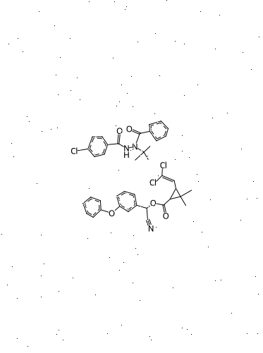 CC(C)(C)N(NC(=O)c1ccc(Cl)cc1)C(=O)c1ccccc1.CC1(C)C(C=C(Cl)Cl)C1C(=O)OC(C#N)c1cccc(Oc2ccccc2)c1